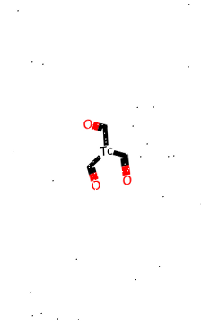 O=[CH][Tc]([CH]=O)[CH]=O